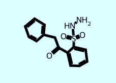 NNS(=O)(=O)c1ccccc1C(=O)Cc1ccccc1